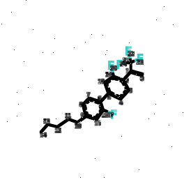 C=C(c1ccc(-c2ccc(CCCCC)cc2F)cc1F)C(F)(F)F